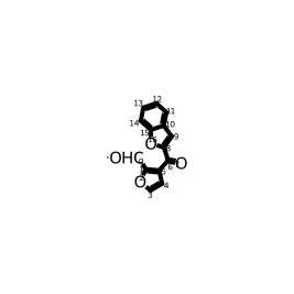 O=[C]c1occc1C(=O)c1cc2ccccc2o1